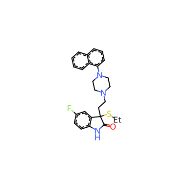 CCSC1(CCN2CCN(c3cccc4ccccc34)CC2)C(=O)Nc2ccc(F)cc21